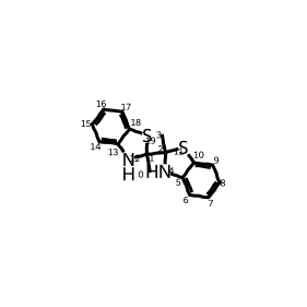 CC1(C2(C)Nc3ccccc3S2)Nc2ccccc2S1